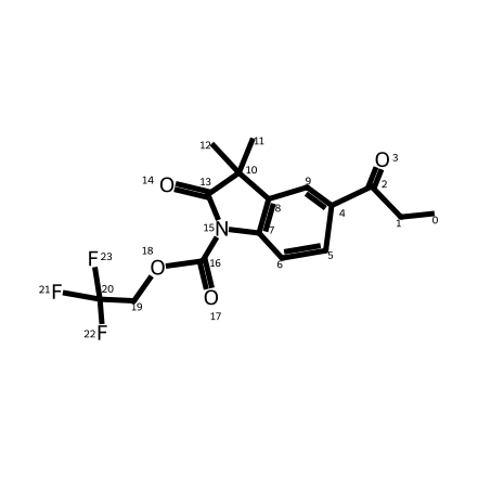 CCC(=O)c1ccc2c(c1)C(C)(C)C(=O)N2C(=O)OCC(F)(F)F